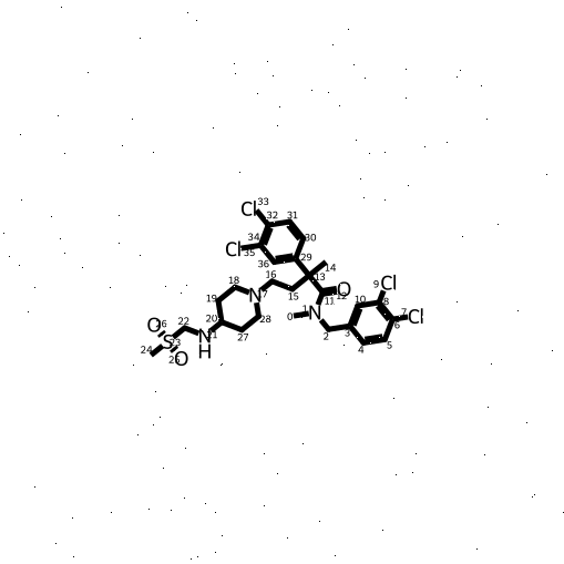 CN(Cc1ccc(Cl)c(Cl)c1)C(=O)C(C)(CCN1CCC(NCS(C)(=O)=O)CC1)c1ccc(Cl)c(Cl)c1